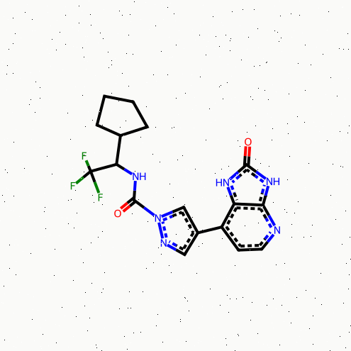 O=C(NC(C1CCCC1)C(F)(F)F)n1cc(-c2ccnc3[nH]c(=O)[nH]c23)cn1